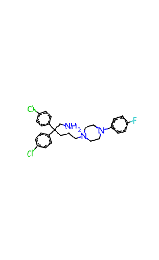 NCC(CCCN1CCN(c2ccc(F)cc2)CC1)(c1ccc(Cl)cc1)c1ccc(Cl)cc1